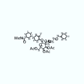 CNC(=O)c1cccc(-c2ccc(O[C@H]3O[C@H](COC(C)=O)[C@@H](OC(C)=O)[C@H](OC(C)=O)[C@]3(COCCOCc3ccccc3)OC(C)=O)c(C)c2)c1